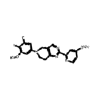 COc1ccnc(-c2ncc3c(n2)CCN(c2cc(F)c(F)c(OC)c2)C3)c1